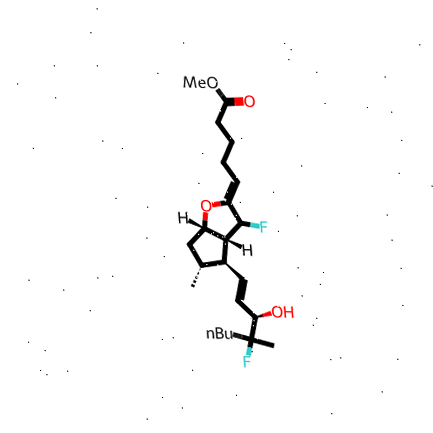 CCCCC(C)(F)[C@H](O)/C=C/[C@@H]1[C@H]2C(F)/C(=C/CCCC(=O)OC)O[C@H]2C[C@H]1C